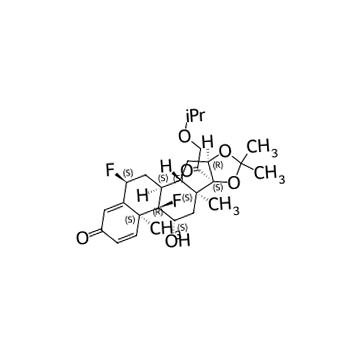 CC(C)OCC(=O)[C@@]12OC(C)(C)O[C@@H]1C[C@H]1[C@@H]3C[C@H](F)C4=CC(=O)C=C[C@]4(C)[C@@]3(F)[C@@H](O)C[C@@]12C